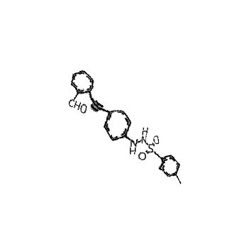 Cc1ccc(S(=O)(=O)NNc2ccc(C#Cc3ccccc3C=O)cc2)cc1